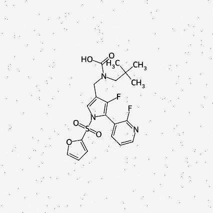 CC(C)(C)CN(Cc1cn(S(=O)(=O)c2ccco2)c(-c2cccnc2F)c1F)C(=O)O